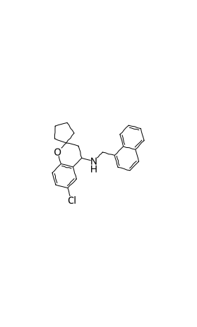 Clc1ccc2c(c1)C(NCc1cccc3ccccc13)CC1(CCCC1)O2